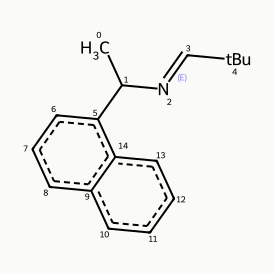 CC(/N=C/C(C)(C)C)c1cccc2ccccc12